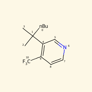 CCCCC(C)(C)c1cnccc1C(F)(F)F